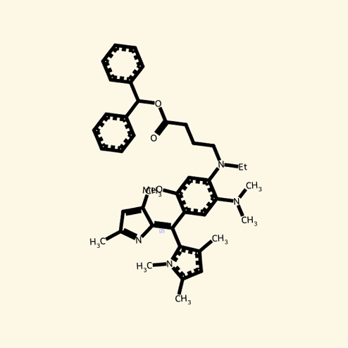 CCN(CCCC(=O)OC(c1ccccc1)c1ccccc1)c1cc(OC)c(/C(=C2/N=C(C)C=C2C)c2c(C)cc(C)n2C)cc1N(C)C